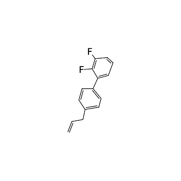 C=CCc1ccc(-c2cccc(F)c2F)cc1